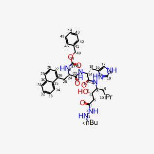 CCCCNNC(=O)C[C@H](O)[C@H](CC(C)C)NC(=O)[C@@H](Cc1c[nH]cn1)NC(=O)[C@@H](Cc1cccc2ccccc12)NC(=O)OCc1ccccc1